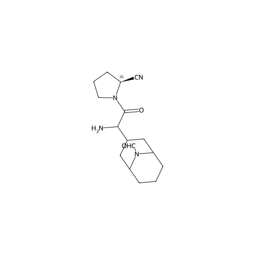 N#C[C@@H]1CCCN1C(=O)C(N)C1CC2CCCC(C1)N2C=O